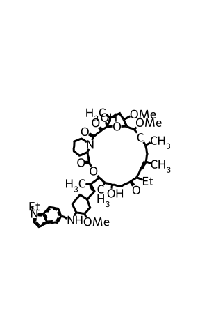 CCC1/C=C(\C)CC(C)CC(OC)C2OC(O)(C(=O)C(=O)N3CCCCC3C(=O)OC(C(C)=CC3CCC(Nc4ccc5c(ccn5CC)c4)C(OC)C3)C(C)C(O)CC1=O)C(C)CC2OC